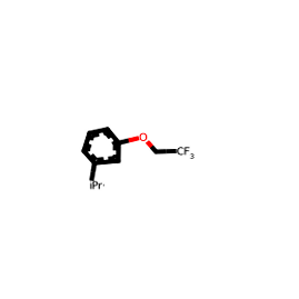 C[C](C)c1cccc(OCC(F)(F)F)c1